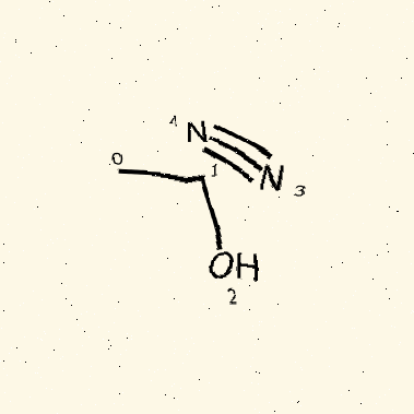 CCO.N#N